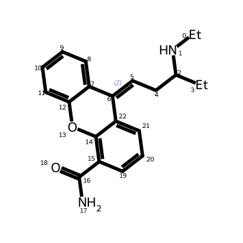 CCNC(CC)C/C=C1/c2ccccc2Oc2c(C(N)=O)cccc21